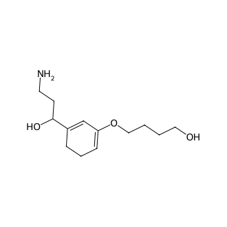 NCCC(O)C1=CC(OCCCCO)=CCC1